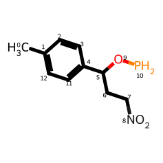 Cc1ccc(C(CC[N+](=O)[O-])OP)cc1